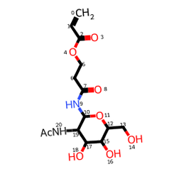 C=CC(=O)OCCC(=O)NC1OC(CO)C(O)C(O)C1NC(C)=O